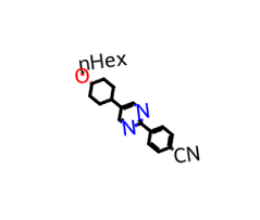 CCCCCCOC1CCC(c2cnc(-c3ccc(C#N)cc3)nc2)CC1